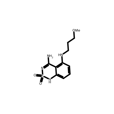 COCCCNc1cccc2c1C(N)=NS(=O)(=O)N2